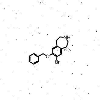 C[C@H]1CNCCc2cc(OCc3ccccc3)c(Br)cc21